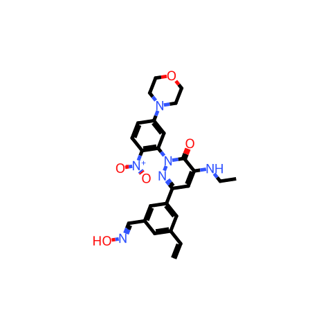 C=Cc1cc(/C=N/O)cc(-c2cc(NCC)c(=O)n(-c3cc(N4CCOCC4)ccc3[N+](=O)[O-])n2)c1